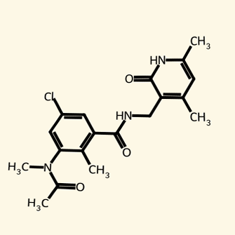 CC(=O)N(C)c1cc(Cl)cc(C(=O)NCc2c(C)cc(C)[nH]c2=O)c1C